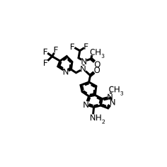 CC(=O)N(CC(F)F)N(Cc1ccc(C(F)(F)F)cn1)C(=O)c1ccc2nc(N)c3cnn(C)c3c2c1